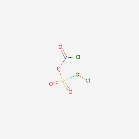 O=C(Cl)OS(=O)(=O)OCl